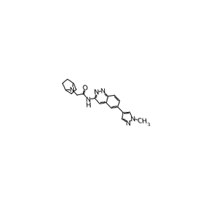 Cn1cc(-c2ccc3nnc(NC(=O)CN4C5CCC4CC5)cc3c2)cn1